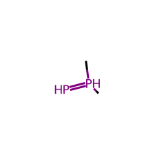 C[PH](C)=P